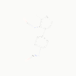 Cc1cccc(-c2ccc(N=C=O)cc2)c1N=C=O